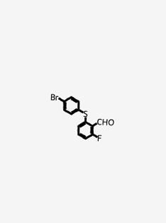 O=Cc1c(F)cccc1Sc1ccc(Br)cc1